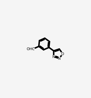 O=Cc1cccc(-c2conn2)c1